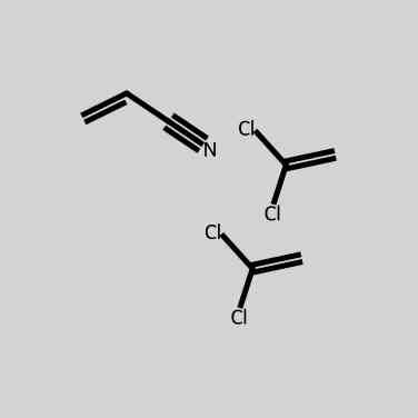 C=C(Cl)Cl.C=C(Cl)Cl.C=CC#N